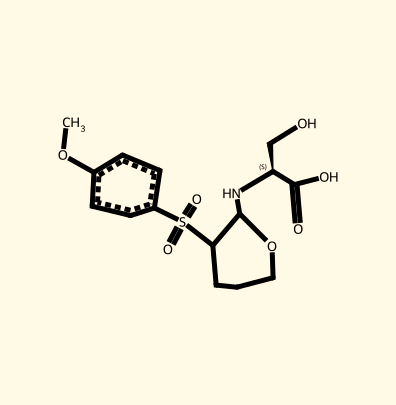 COc1ccc(S(=O)(=O)C2CCCOC2N[C@@H](CO)C(=O)O)cc1